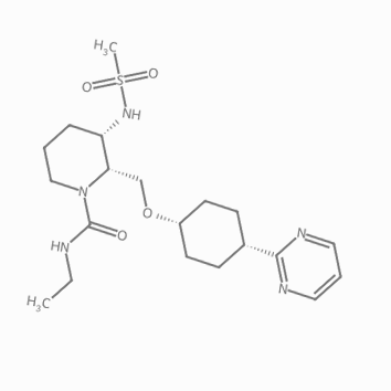 CCNC(=O)N1CCC[C@H](NS(C)(=O)=O)[C@@H]1CO[C@H]1CC[C@@H](c2ncccn2)CC1